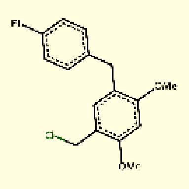 CCc1ccc(Cc2cc(CCl)c(OC)cc2OC)cc1